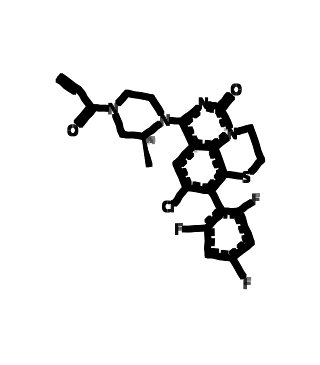 C=CC(=O)N1CCN(c2nc(=O)n3c4c(c(-c5c(F)cc(F)cc5F)c(Cl)cc24)SCC3)[C@@H](C)C1